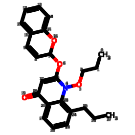 CCCOn1c(OC2C=Cc3ccccc3O2)cc(=O)c2cccc(CCC)c21